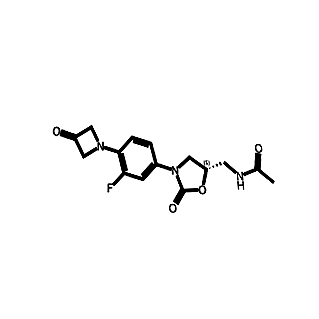 CC(=O)NC[C@H]1CN(c2ccc(N3CC(=O)C3)c(F)c2)C(=O)O1